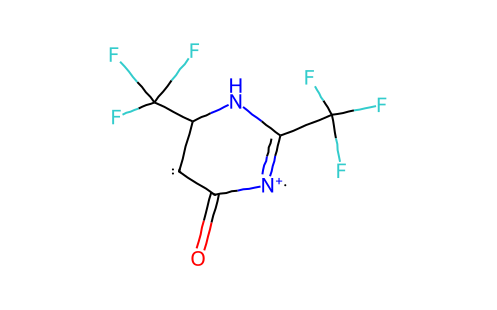 O=C1[C]C(C(F)(F)F)NC(C(F)(F)F)=[N+]1